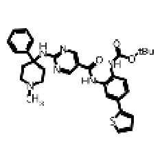 CN1CCC(Nc2ncc(C(=O)Nc3cc(-c4cccs4)ccc3NC(=O)OC(C)(C)C)cn2)(c2ccccc2)CC1